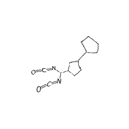 O=C=NC(N=C=O)C1CCC(C2CCCC2)C1